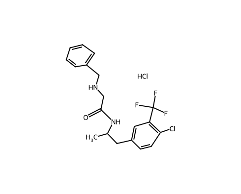 CC(Cc1ccc(Cl)c(C(F)(F)F)c1)NC(=O)CNCc1ccccc1.Cl